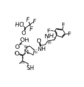 C[C@H](CS)C(=O)N1C[C@@H](NC(=O)C[C@H](N)Cc2cc(F)c(F)cc2F)C[C@H]1C(=O)O.O=C(O)C(F)(F)F